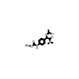 CC/C(C)=N\C(C(=O)N(C)C)c1ccc(NC(=O)OC(C)(C)C)cc1